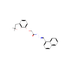 CC1(C)Cc2cccc(OCC(=O)NN=Cc3cccc4ccccc34)c2O1